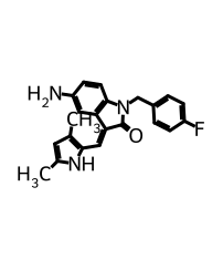 Cc1cc(C)c(C=C2C(=O)N(Cc3ccc(F)cc3)c3ccc(N)cc32)[nH]1